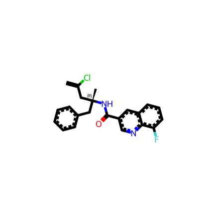 C=C(Cl)C[C@@](C)(Cc1ccccc1)NC(=O)c1cnc2c(F)cccc2c1